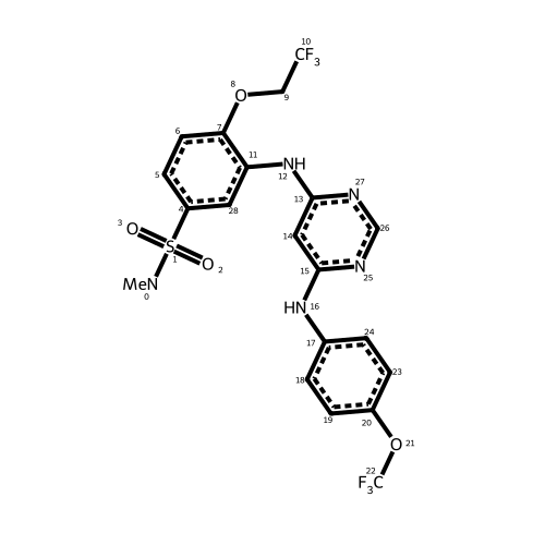 CNS(=O)(=O)c1ccc(OCC(F)(F)F)c(Nc2cc(Nc3ccc(OC(F)(F)F)cc3)ncn2)c1